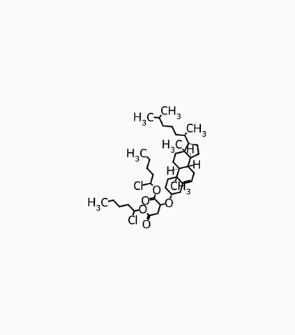 CCCCC(Cl)OC(=O)CC(O[C@H]1CC[C@@]2(C)C(=CC[C@H]3[C@@H]4CC[C@H]([C@H](C)CCCC(C)C)[C@@]4(C)CC[C@@H]32)C1)C(=O)OC(Cl)CCCC